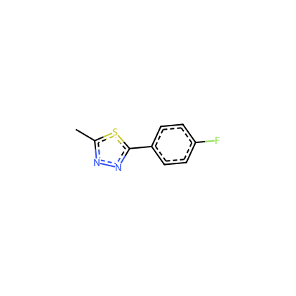 Cc1nnc(-c2ccc(F)cc2)s1